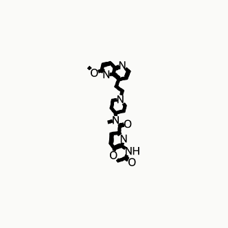 COc1ccc2nccc(CCN3CCC(N(C)C(=O)c4ccc5c(n4)NC(=O)CO5)CC3)c2n1